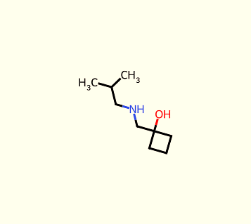 CC(C)CNCC1(O)CCC1